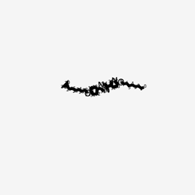 CCCCCCCCOc1ccc(-c2cnc(-c3ccc(OCCCCCCC4CC4)cc3)cn2)cn1